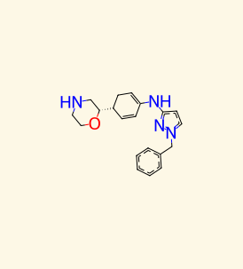 C1=CC([C@H]2CNCCO2)CC=C1Nc1ccn(Cc2ccccc2)n1